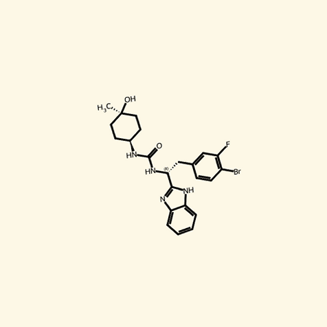 C[C@]1(O)CC[C@@H](NC(=O)N[C@H](Cc2ccc(Br)c(F)c2)c2nc3ccccc3[nH]2)CC1